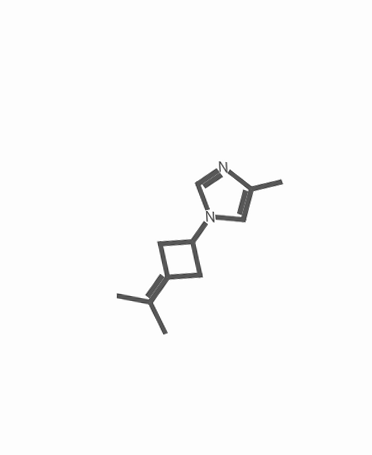 CC(C)=C1CC(n2cnc(C)c2)C1